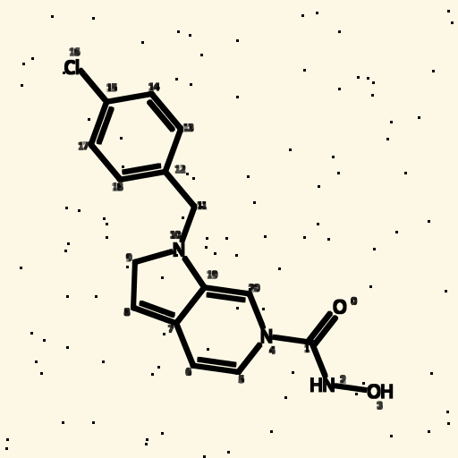 O=C(NO)N1C=CC2=CCN(Cc3ccc(Cl)cc3)C2=C1